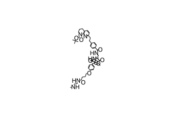 CNCCNC(=O)CCCOc1ccc(S(=O)(=O)N[C@@H](CNC(=O)c2ccc(CCc3ccc4c(n3)N(C(=O)OC(C)(C)C)CCC4)cc2)C(=O)OC)cc1